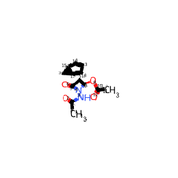 CC(=O)NN1C(=O)C[C@H]1OC(C)=O.c1cc2cc-2c1